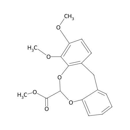 COC(=O)C1Oc2ccccc2Cc2ccc(OC)c(OC)c2O1